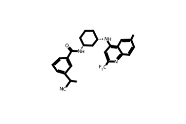 Cc1ccc2nc(C(F)(F)F)cc(N[C@H]3CCC[C@@H](NC(=O)c4cccc(C(C)C#N)c4)C3)c2c1